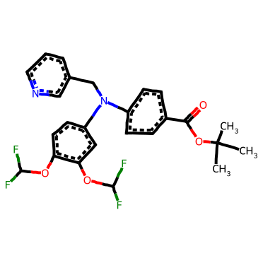 CC(C)(C)OC(=O)c1ccc(N(Cc2cccnc2)c2ccc(OC(F)F)c(OC(F)F)c2)cc1